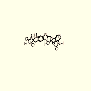 CN1C(=O)NC(=O)C12Cc1cc3nc(Cn4c(=O)n5c6c(cncc64)NC(=O)C5)[nH]c3cc1C2